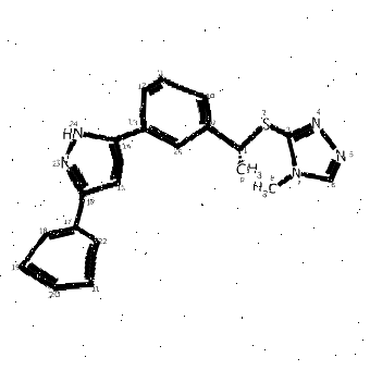 C[C@@H](Sc1nncn1C)c1cccc(-c2cc(-c3ccccc3)n[nH]2)c1